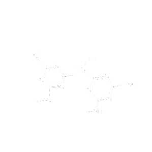 CCNc1nc(Cl)nc(NC(C)(C)C)n1.CCNc1nc(NC(C)(C)C)nc(OC)n1